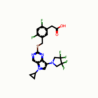 O=C(O)Cc1cc(CSc2ncc3c(n2)c(N2CC(F)(F)C(F)(F)C2)cn3C2CC2)c(F)cc1F